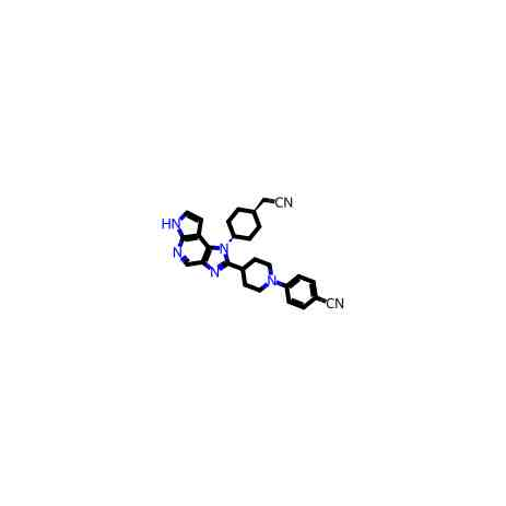 N#CC[C@H]1CC[C@H](n2c(C3CCN(c4ccc(C#N)cc4)CC3)nc3cnc4[nH]ccc4c32)CC1